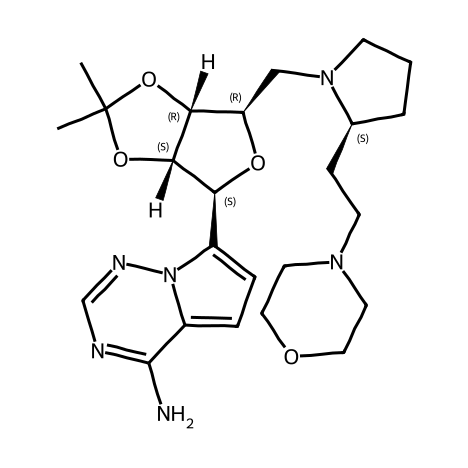 CC1(C)O[C@@H]2[C@H](O1)[C@@H](CN1CCC[C@H]1CCN1CCOCC1)O[C@H]2c1ccc2c(N)ncnn12